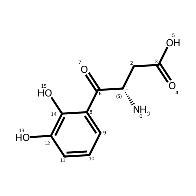 N[C@@H](CC(=O)O)C(=O)c1cccc(O)c1O